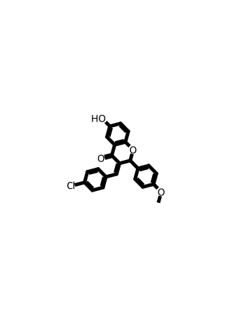 COc1ccc(C2Oc3ccc(O)cc3C(=O)C2=Cc2ccc(Cl)cc2)cc1